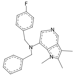 Cc1c(C)n(C)c2c(N(Cc3ccccc3)Cc3ccc(F)cc3)cncc12